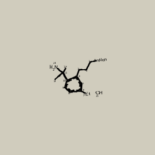 CCCCCCCCCCCCc1cc(CC)ccc1C(C)(C)N.Cl